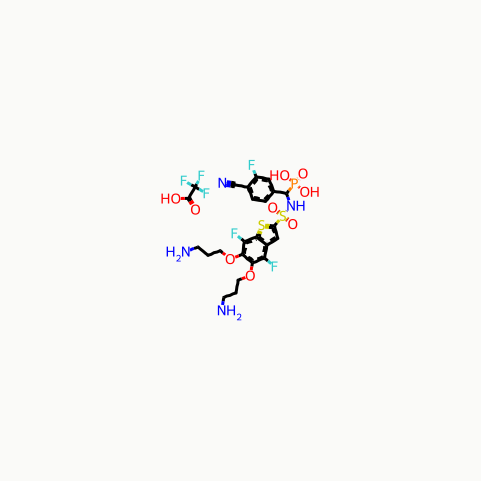 N#Cc1ccc(C(NS(=O)(=O)c2cc3c(F)c(OCCCN)c(OCCCN)c(F)c3s2)P(=O)(O)O)cc1F.O=C(O)C(F)(F)F